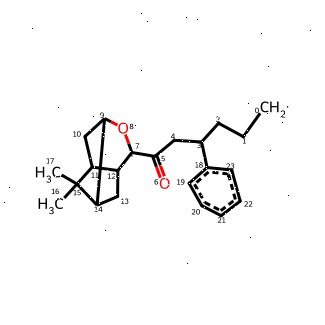 [CH2]CCC(CC(=O)[C]1OC2CC3C1CC2C3(C)C)c1ccccc1